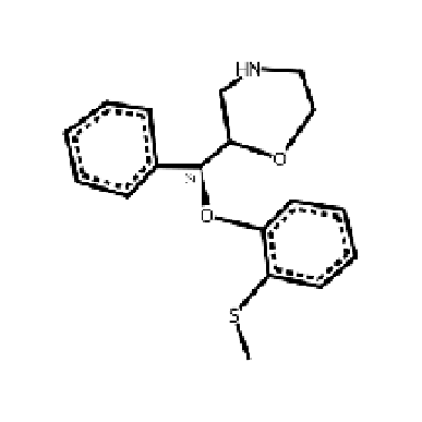 CSc1ccccc1O[C@@H](c1ccccc1)C1CNCCO1